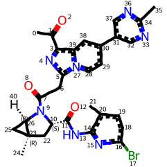 CC(=O)c1nc(CC(=O)N2[C@H](C(=O)Nc3nc(Br)ccc3C)C[C@@]3(C)C[C@@H]23)n2ccc(-c3cnc(C)nc3)cc12